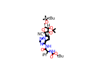 CC(C)C(NC(=O)OC(C)(C)C)C(=O)Nc1ncnn2c([C@]3(C#N)O[C@H](CO[Si](C)(C)C(C)(C)C)[C@H]4OC(C)(C)O[C@H]43)ccc12